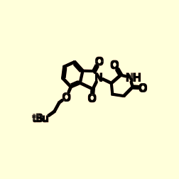 CC(C)(C)CCOc1cccc2c1C(=O)N(C1CCC(=O)NC1=O)C2=O